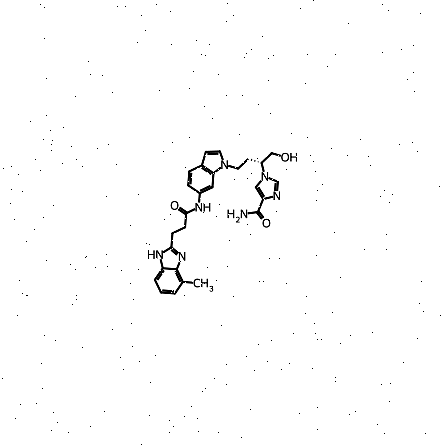 Cc1cccc2[nH]c(CCC(=O)Nc3ccc4ccn(CC[C@H](CO)n5cnc(C(N)=O)c5)c4c3)nc12